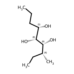 CCC[C@H](O)[C@@H](O)[C@H](O)[C@H](C)CC